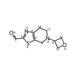 O=Cc1nc2c(s1)CN(C1COC1)CC2